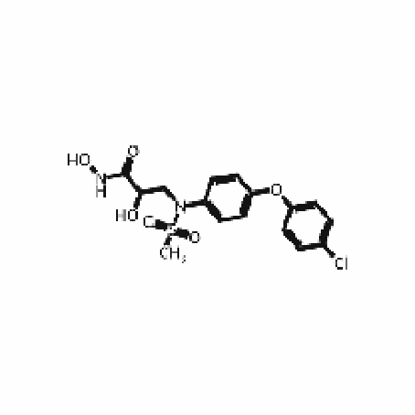 CS(=O)(=O)N(CC(O)C(=O)NO)c1ccc(Oc2ccc(Cl)cc2)cc1